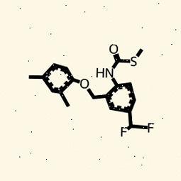 CSC(=O)Nc1ccc(C(F)F)cc1COc1ccc(C)cc1C